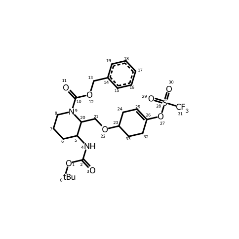 CC(C)(C)OC(=O)NC1CCCN(C(=O)OCc2ccccc2)C1COC1CC=C(OS(=O)(=O)C(F)(F)F)CC1